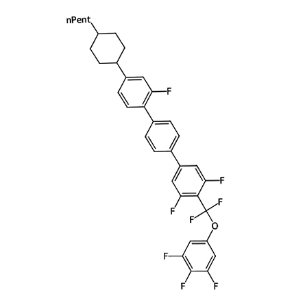 CCCCCC1CCC(c2ccc(-c3ccc(-c4cc(F)c(C(F)(F)Oc5cc(F)c(F)c(F)c5)c(F)c4)cc3)c(F)c2)CC1